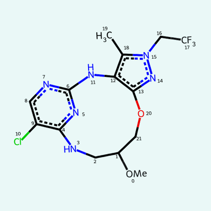 COC1CNc2nc(ncc2Cl)Nc2c(nn(CC(F)(F)F)c2C)OC1